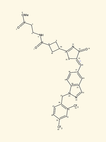 COC(=O)CCNC(=O)C1CC(C2=NC(=O)/C(=C/c3ccc4c(cnn4Cc4ccc(C(F)(F)F)cc4C(F)(F)F)c3)S2)C1